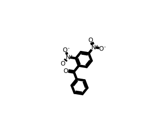 O=C(c1ccccc1)c1ccc([N+](=O)[O-])cc1[N+](=O)[O-]